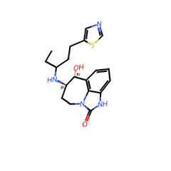 CCC(CCc1cncs1)N[C@@H]1CCn2c(=O)[nH]c3cccc(c32)[C@H]1O